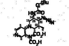 C[C@H]1CN(c2ccncc2N(C(=O)O)C(=O)O)C[C@@H](NC(=O)OC(C)(C)C)[C@H]1N=[N+]=[N-]